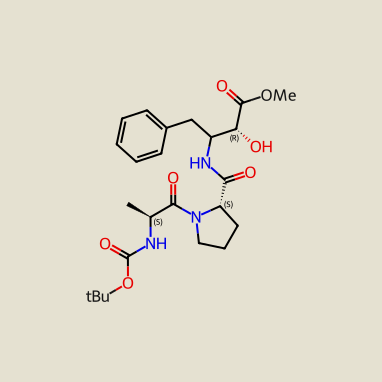 COC(=O)[C@H](O)C(Cc1ccccc1)NC(=O)[C@@H]1CCCN1C(=O)[C@H](C)NC(=O)OC(C)(C)C